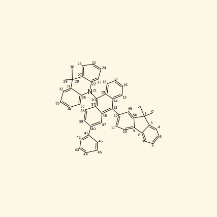 CC1(C)c2ccccc2-c2ccc(-c3c4ccccc4c(N4c5ccccc5C(C)(C)c5ccccc54)c4ccc(-c5ccccc5)cc34)cc21